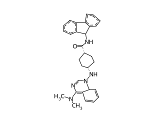 CN(C)C1=C2C=CC=CC2N(N[C@H]2CC[C@@H](C(=O)NC3c4ccccc4-c4ccccc43)CC2)C=N1